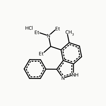 CCC(c1c(C)ccc2[nH]nc(-c3ccccc3)c12)N(CC)CC.Cl